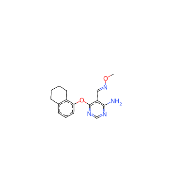 CON=Cc1c(N)ncnc1Oc1cccc2c1CCCC2